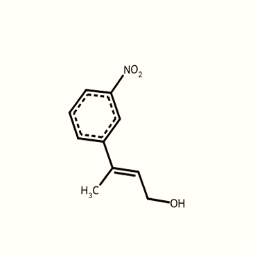 CC(=CCO)c1cccc([N+](=O)[O-])c1